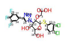 O=C(O)COC1C(Sc2ccc(Cl)c(Cl)c2)OC(CO)C(O)C1n1cc(-c2cc(F)c(F)c(F)c2)nn1